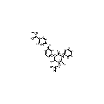 COC(=O)c1ccc(Oc2cccc(C(C(=O)N(c3ccccc3)C3CC3)=C3CCNCC3)c2)nc1